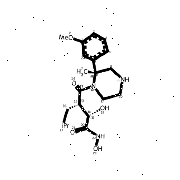 COc1cccc([C@]2(C)CNCCN2C(=O)[C@@H](CC(C)C)[C@H](O)C(=O)NO)c1